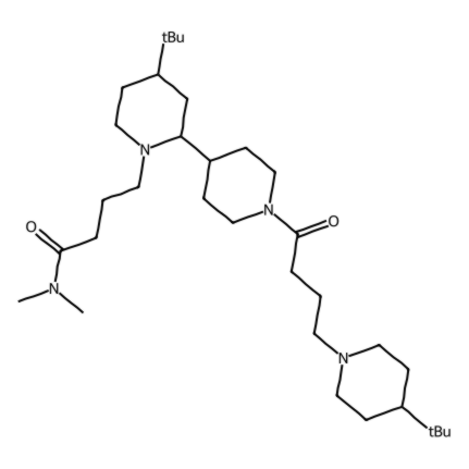 CN(C)C(=O)CCCN1CCC(C(C)(C)C)CC1C1CCN(C(=O)CCCN2CCC(C(C)(C)C)CC2)CC1